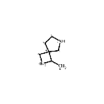 CC1NCC12CCNC2